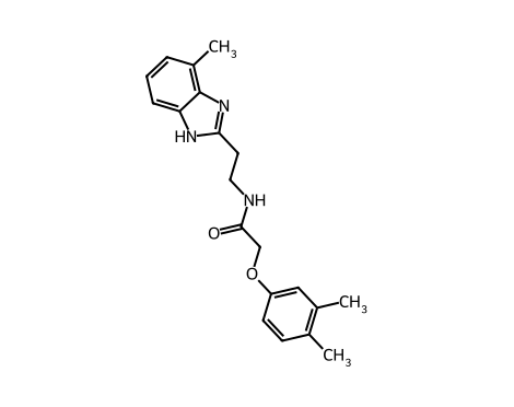 Cc1ccc(OCC(=O)NCCc2nc3c(C)cccc3[nH]2)cc1C